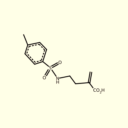 C=C(CCNS(=O)(=O)c1ccc(C)cc1)C(=O)O